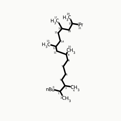 CCCCC(C)C(C)CCCCC(C)CC(C)CCC(C)CC(C)C(C)C